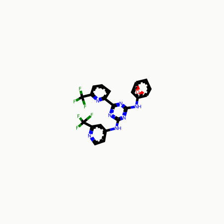 FC(F)(F)c1cc(Nc2nc(Nc3cc4ccc3o4)nc(-c3cccc(C(F)(F)F)n3)n2)ccn1